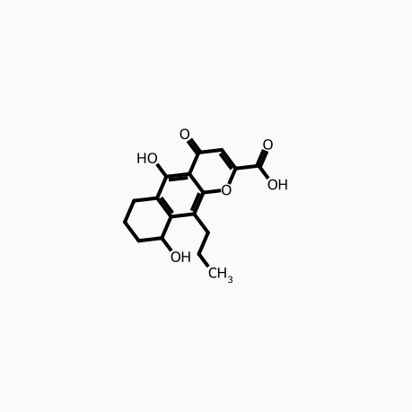 CCCc1c2c(c(O)c3c(=O)cc(C(=O)O)oc13)CCCC2O